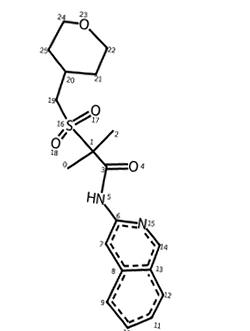 CC(C)(C(=O)Nc1cc2ccccc2cn1)S(=O)(=O)CC1CCOCC1